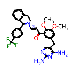 COc1cc(Cc2cnc(N)nc2N)cc(C(=O)/C=C/N2CCc3ccccc3C2c2ccc(C(F)(F)F)cc2)c1OC